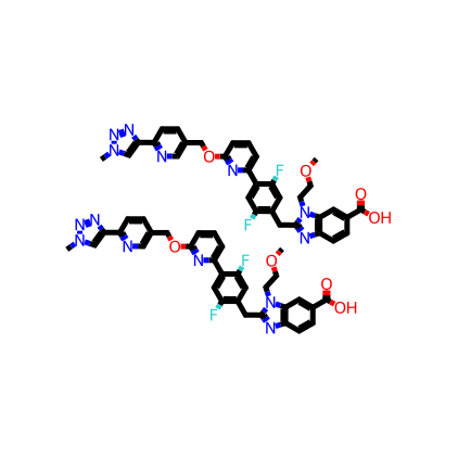 COCCn1c(Cc2cc(F)c(-c3cccc(OCc4ccc(-c5cn(C)nn5)nc4)n3)cc2F)nc2ccc(C(=O)O)cc21.COCCn1c(Cc2cc(F)c(-c3cccc(OCc4ccc(-c5cn(C)nn5)nc4)n3)cc2F)nc2ccc(C(=O)O)cc21